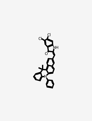 CC1(C)c2ccccc2N(c2ccccc2)c2ccc3cc(/C=C4/Nc5cc(Cl)c(Cl)cc5C4=O)ccc3c21